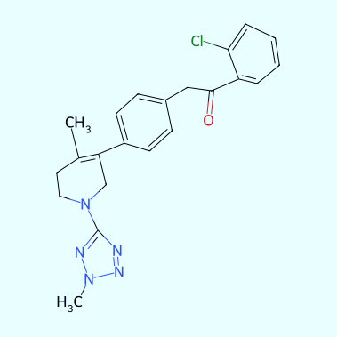 CC1=C(c2ccc(CC(=O)c3ccccc3Cl)cc2)CN(c2nnn(C)n2)CC1